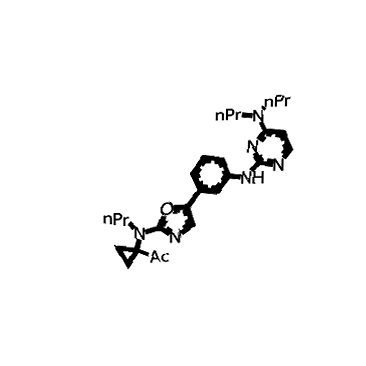 CCCN(CCC)c1ccnc(Nc2cccc(-c3cnc(N(CCC)C4(C(C)=O)CC4)o3)c2)n1